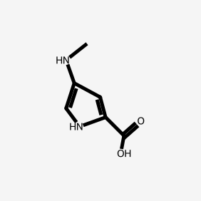 CNc1c[nH]c(C(=O)O)c1